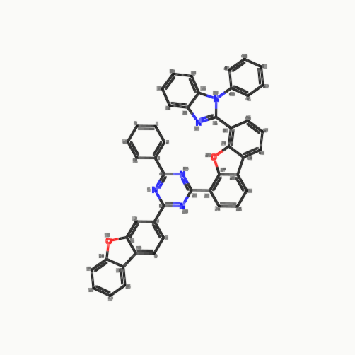 c1ccc(-c2nc(-c3ccc4c(c3)oc3ccccc34)nc(-c3cccc4c3oc3c(-c5nc6ccccc6n5-c5ccccc5)cccc34)n2)cc1